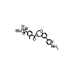 Cc1cc(S(=O)(=O)NC(C)(C)C)ccc1C(=O)N1CCOc2ccc(-c3ccc(N)nc3)cc2C1